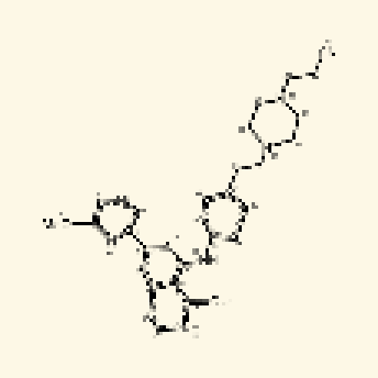 COc1cncc(-c2cc3cc[nH]c(=O)c3c(Nc3ccc(CCN4CCN(CCC#N)CC4)cc3)n2)n1